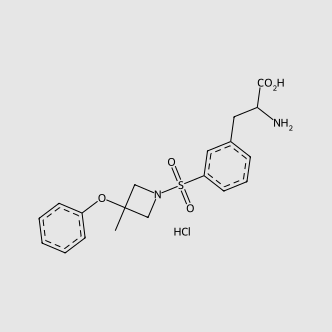 CC1(Oc2ccccc2)CN(S(=O)(=O)c2cccc(CC(N)C(=O)O)c2)C1.Cl